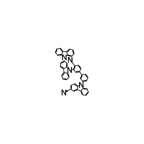 N#Cc1ccc2c(c1)c1ccccc1n2-c1cccc(-c2ccc(C#N)c(-n3c4ccccc4c4ccc(-n5c6ccccc6c6ccccc65)cc43)c2)c1